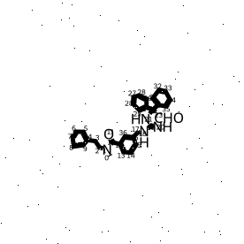 CN(CCc1ccccc1)C(=O)c1cccc(CNC(=N)NC(C=O)(c2ccccc2)c2ccccc2)c1